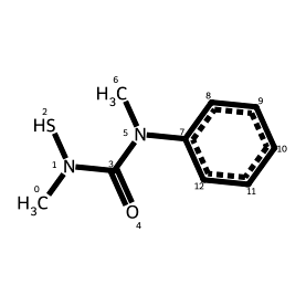 CN(S)C(=O)N(C)c1ccccc1